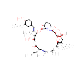 C=CC[C@@H]1/C=C(\C)C[C@H](C)C[C@H](OC)[C@H]2OC(O)(C(=O)C(=O)N3CCCCC3C(=O)O[C@H](/C(C)=C/C3CC[C@@H](O)C(OC)C3)[C@H](C)C(O)CC1=O)C(C)CC2OC